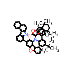 CC(C)(C)c1ccc(N2c3c(oc4cc5c(cc34)C(C)(C)CCC5(C)C)B3c4c(cc5oc6ccccc6c5c42)-c2cccc4c5c6ccccc6ccc5n3c24)c(-c2ccccc2)c1